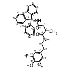 C[C@H](CC(=O)NC(c1ccccc1)(c1ccccc1)c1ccccc1)C(=O)NCCc1cc(F)c(O)c(F)c1